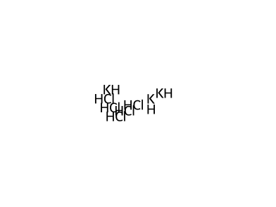 Cl.Cl.Cl.Cl.Cl.[KH].[KH].[KH]